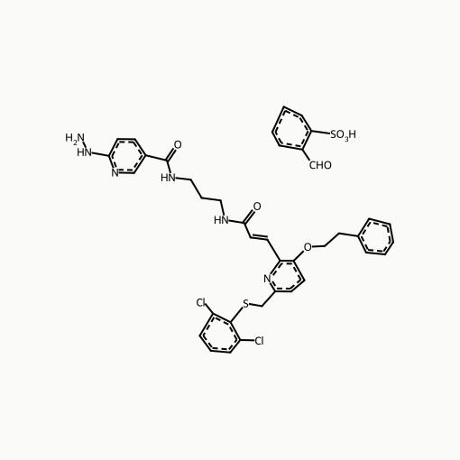 NNc1ccc(C(=O)NCCCNC(=O)C=Cc2nc(CSc3c(Cl)cccc3Cl)ccc2OCCc2ccccc2)cn1.O=Cc1ccccc1S(=O)(=O)O